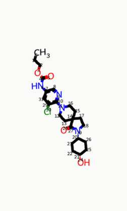 CCCOC(=O)Nc1cnc(N2CCC3(CC2)CCN([C@H]2CC[C@@H](O)CC2)C3=O)c(Cl)c1